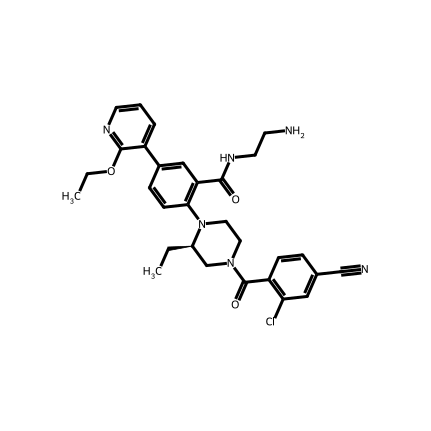 CCOc1ncccc1-c1ccc(N2CCN(C(=O)c3ccc(C#N)cc3Cl)C[C@H]2CC)c(C(=O)NCCN)c1